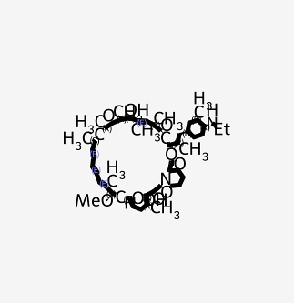 CCN[C@@H]1CC[C@@H](C[C@@H](C)[C@@H]2CC(=O)[C@H](C)/C=C(\C)[C@@H](O)[C@@H](C)C(=O)[C@H](C)C[C@H](C)/C=C/C=C/C=C(\C)[C@@H](OC)C[C@@H]3CC[C@@H](C)[C@@](O)(O3)C(=O)C(=O)N3CCCCC3C(=O)O2)C[C@H]1C